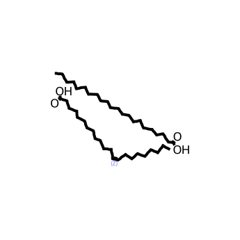 CCCCCCCC/C=C\CCCCCCCCCCCC(=O)O.CCCCCCCCCCCCCCCCCCCCCC(=O)O